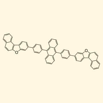 c1ccc2c(c1)ccc1oc3cc(-c4ccc(-c5c6ccccc6c(-c6ccc(-c7ccc8c(c7)oc7ccc9ccccc9c78)cc6)c6ccccc56)cc4)ccc3c12